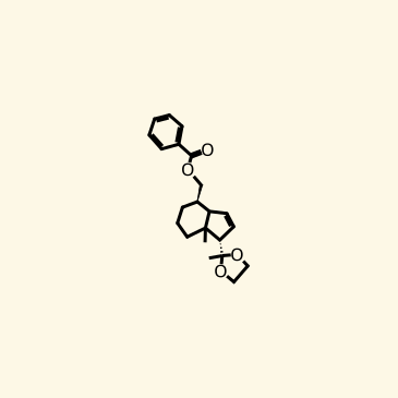 CC1([C@H]2C=CC3[C@H](COC(=O)c4ccccc4)CCCC32C)OCCO1